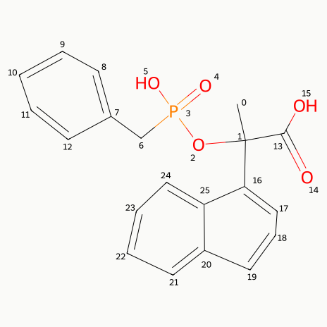 CC(OP(=O)(O)Cc1ccccc1)(C(=O)O)c1cccc2ccccc12